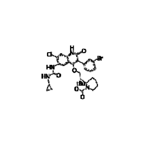 CC(C)(C)OC(=O)N1CCCCC1CCOc1c(-c2cccc(Br)c2)c(=O)[nH]c2cc(Cl)c(NC(=O)NC3CC3)cc12